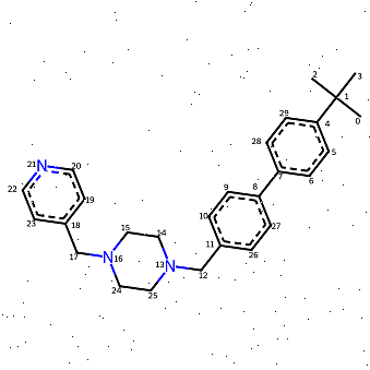 CC(C)(C)c1ccc(-c2ccc(CN3CCN(Cc4ccncc4)CC3)cc2)cc1